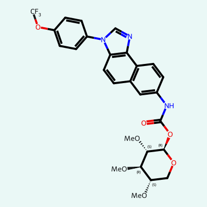 CO[C@@H]1[C@@H](OC(=O)Nc2ccc3c(ccc4c3ncn4-c3ccc(OC(F)(F)F)cc3)c2)OC[C@H](OC)[C@H]1OC